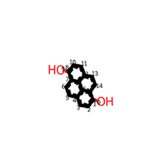 Oc1ccc2ccc3c(O)ccc4ccc1c2c43